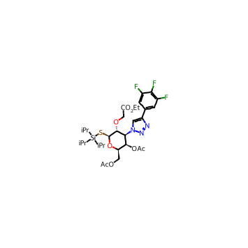 CCOC(=O)CO[C@@H]1[C@@H](n2cc(-c3cc(F)c(F)c(F)c3)nn2)[C@@H](OC(C)=O)[C@@H](COC(C)=O)O[C@H]1S[Si](C(C)C)(C(C)C)C(C)C